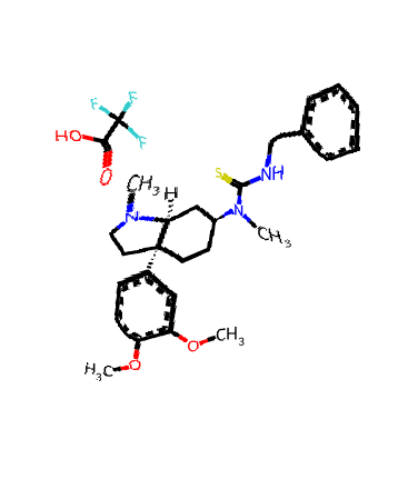 COc1ccc([C@@]23CC[C@H](N(C)C(=S)NCc4ccccc4)C[C@@H]2N(C)CC3)cc1OC.O=C(O)C(F)(F)F